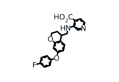 O=C(O)c1ccncc1NCC1CCOc2cc(Oc3ccc(F)cc3)ccc21